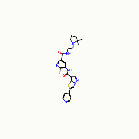 Cc1ncc(C(=O)NCCN2CCCC2(C)C)cc1NC(=O)c1cnn2cc(-c3ccncc3)sc12